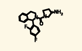 N[C@@H]1CCN(C(=O)N2CCc3ccccc3C2c2ccc(F)cc2F)C1